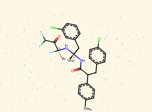 COc1ccc(C(Cc2ccc(Cl)cc2)C(=O)N[C@@](C=O)(Cc2cccc(Cl)c2)N[C@@](F)(C(=O)C(F)F)C(C)C)cc1